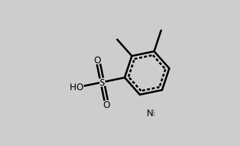 Cc1cccc(S(=O)(=O)O)c1C.[N]